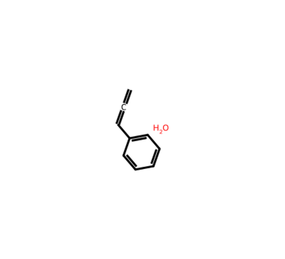 C=C=Cc1ccccc1.O